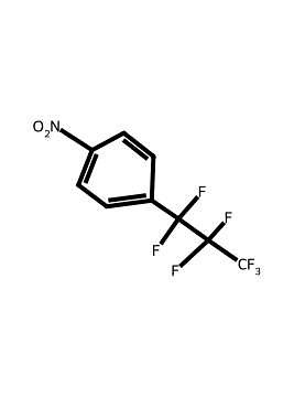 O=[N+]([O-])c1ccc(C(F)(F)C(F)(F)C(F)(F)F)cc1